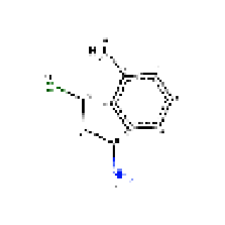 Cc1ccccc1.NCCCCl